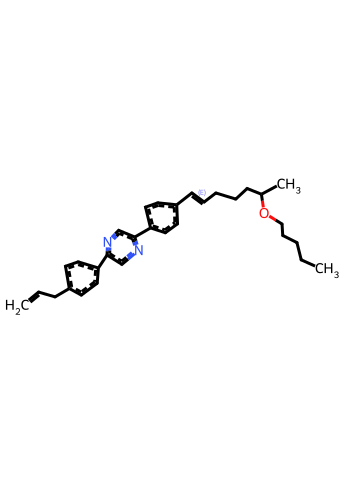 C=CCc1ccc(-c2cnc(-c3ccc(/C=C/CCCC(C)OCCCCC)cc3)cn2)cc1